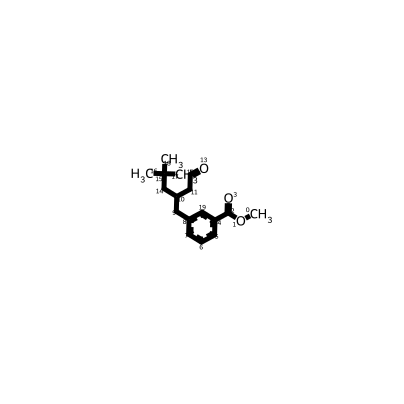 COC(=O)c1cccc(CC(CC=O)CC(C)(C)C)c1